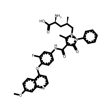 COc1ccc2c(Oc3ccc(NC(=O)c4c(C)n(C[C@H](C)C[C@H](N)C(=O)O)n(-c5ccccc5)c4=O)cc3F)ccnc2c1